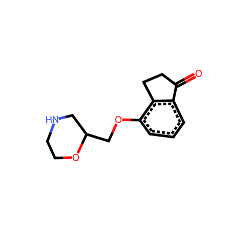 O=C1CCc2c(OCC3CNCCO3)cccc21